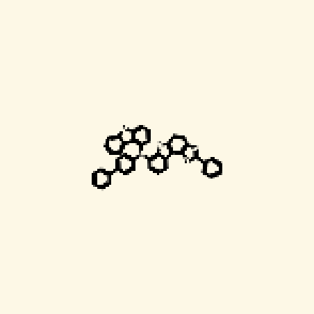 c1ccc(-c2ccc(N(c3cccc4c3oc3ccc5nc(-c6ccccc6)oc5c34)c3cccc4sc5ccccc5c34)cc2)cc1